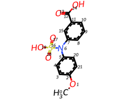 COc1ccc(N(c2cccc(C(=O)O)c2)S(=O)(=O)O)cc1